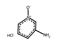 Cl.Nc1ccc[n+]([O-])c1